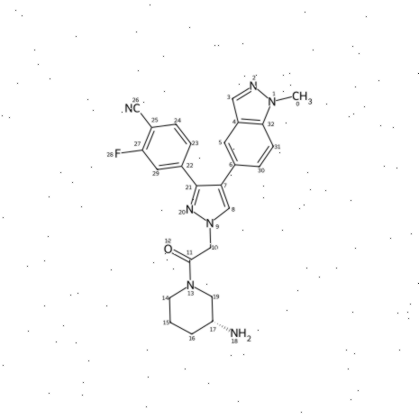 Cn1ncc2cc(-c3cn(CC(=O)N4CCC[C@@H](N)C4)nc3-c3ccc(C#N)c(F)c3)ccc21